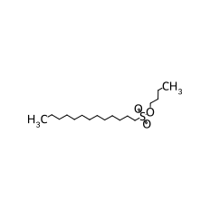 CCCCCCCCCCCCCS(=O)(=O)OCCCC